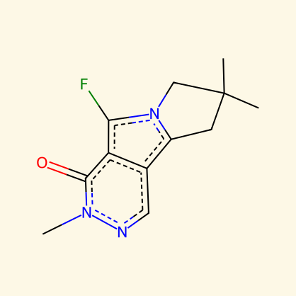 Cn1ncc2c3n(c(F)c2c1=O)CC(C)(C)C3